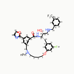 CCCN1CCCCOc2cc(F)cc(c2)C[C@@H]([C@H](O)CNCc2cccc(C(F)(F)F)c2)NC(=O)c2cc(cc(-c3ncco3)c2)C1